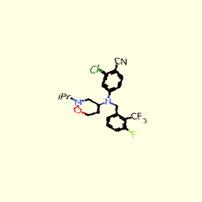 CC(C)N1C[C@@H](N(Cc2cccc(F)c2C(F)(F)F)c2ccc(C#N)c(Cl)c2)CCO1